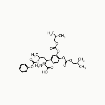 CC(C)COC(=O)Oc1ccc(C(CC(C)OC(=O)Oc2ccccc2)[C@H](N)C(=O)O)cc1OC(=O)OCC(C)C